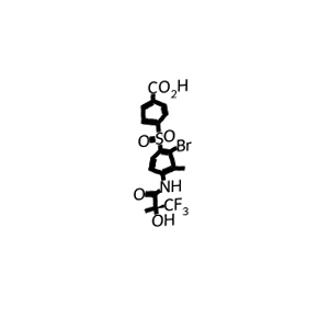 Cc1c(NC(=O)[C@@](C)(O)C(F)(F)F)ccc(S(=O)(=O)c2ccc(C(=O)O)cc2)c1Br